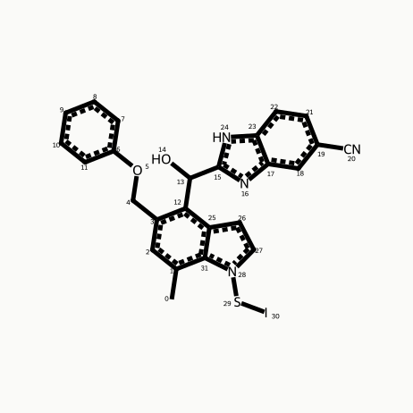 Cc1cc(COc2ccccc2)c(C(O)c2nc3cc(C#N)ccc3[nH]2)c2ccn(SI)c12